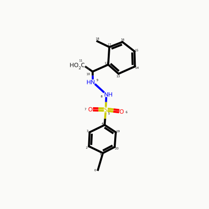 Cc1ccc(S(=O)(=O)NNC(C(=O)O)c2ccccc2C)cc1